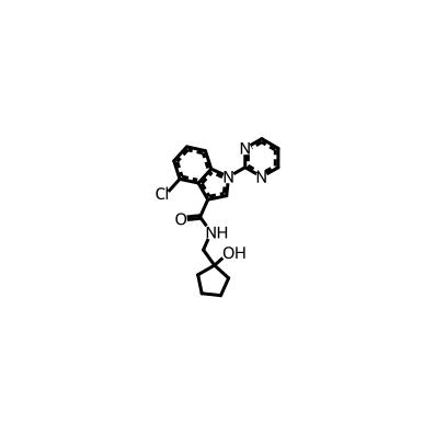 O=C(NCC1(O)CCCC1)c1cn(-c2ncccn2)c2cccc(Cl)c12